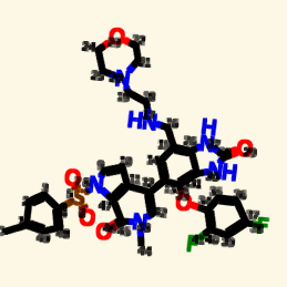 Cc1ccc(S(=O)(=O)n2ccc3c(-c4cc(CNCCN5CCOCC5)c5[nH]c(=O)[nH]c5c4Oc4ccc(F)cc4F)cn(C)c(=O)c32)cc1